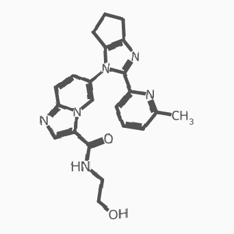 Cc1cccc(-c2nc3c(n2-c2ccc4ncc(C(=O)NCCO)n4c2)CCC3)n1